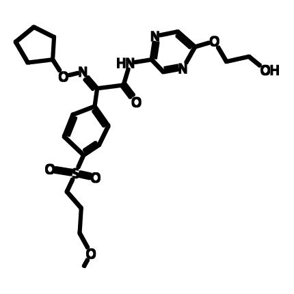 COCCCS(=O)(=O)c1ccc(/C(=N\OC2CCCC2)C(=O)Nc2cnc(OCCO)cn2)cc1